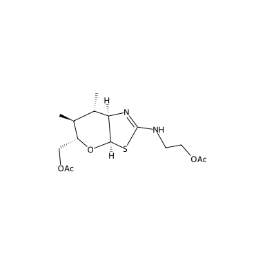 CC(=O)OCCNC1=N[C@@H]2[C@@H](C)[C@H](C)[C@@H](COC(C)=O)O[C@@H]2S1